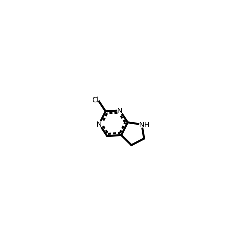 Clc1ncc2c(n1)NCC2